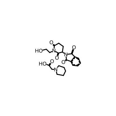 O=C(O)CN1CCCCC1.O=C1CCC(N2C(=O)c3ccccc3C2=O)C(=O)N1CCO